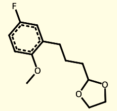 COc1ccc(F)cc1CCCC1OCCO1